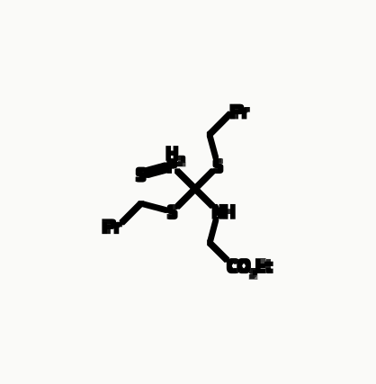 CCOC(=O)CNC([PH2]=S)(SCC(C)C)SCC(C)C